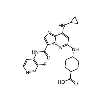 O=C(Nc1ccncc1F)c1cnc2c(NC3CC3)cc(N[C@H]3CC[C@H](C(=O)O)CC3)nn12